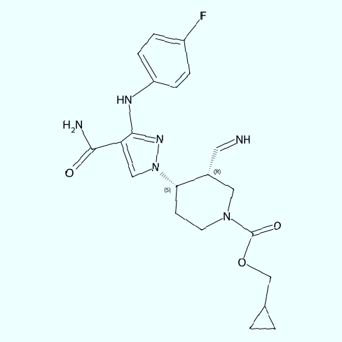 N=C[C@@H]1CN(C(=O)OCC2CC2)CC[C@@H]1n1cc(C(N)=O)c(Nc2ccc(F)cc2)n1